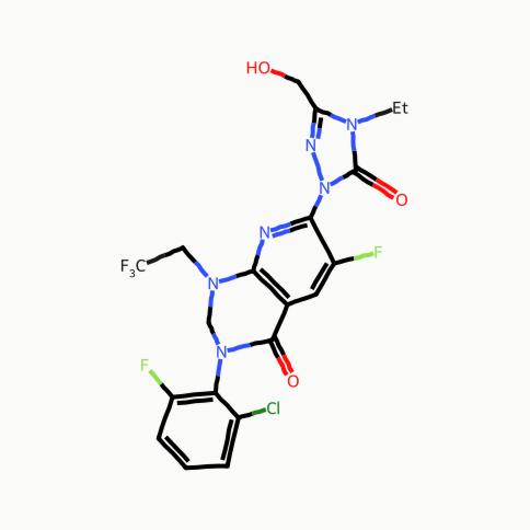 CCn1c(CO)nn(-c2nc3c(cc2F)C(=O)N(c2c(F)cccc2Cl)CN3CC(F)(F)F)c1=O